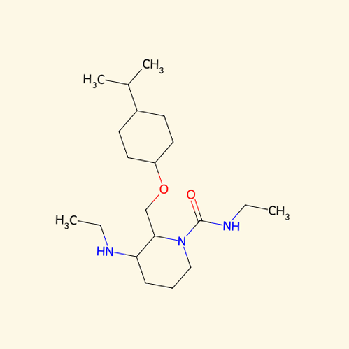 CCNC(=O)N1CCCC(NCC)C1COC1CCC(C(C)C)CC1